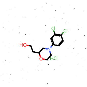 Cl.OCCC1CN(c2ccc(Cl)c(Cl)c2)CCO1